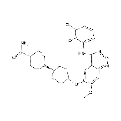 COc1cc2ncnc(Nc3cccc(Cl)c3F)c2cc1O[C@H]1CC[C@H](N2CCC(C(N)=O)CC2)CC1